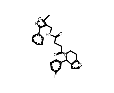 Cc1onc(-c2ccccc2)c1CNC(=O)CCC(=O)N1CCc2sccc2C1c1cccc(F)c1